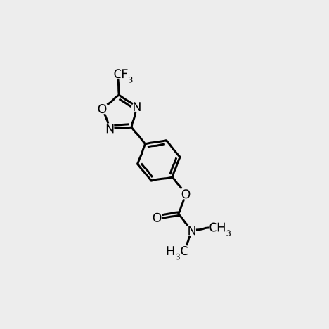 CN(C)C(=O)Oc1ccc(-c2noc(C(F)(F)F)n2)cc1